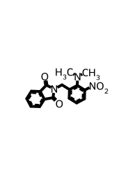 CN(C)c1c(CN2C(=O)c3ccccc3C2=O)cccc1[N+](=O)[O-]